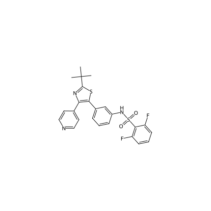 CC(C)(C)c1nc(-c2ccncc2)c(-c2cccc(NS(=O)(=O)c3c(F)cccc3F)c2)s1